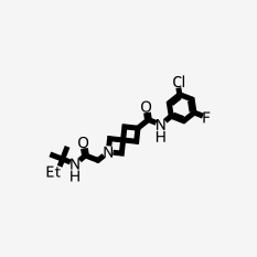 CCC(C)(C)NC(=O)CN1CC2(CC(C(=O)Nc3cc(F)cc(Cl)c3)C2)C1